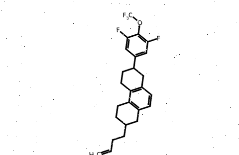 C=CCCC1CCc2c(ccc3c2CCC(c2cc(F)c(OC(F)(F)F)c(F)c2)C3)C1